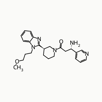 COCCCn1c([C@@H]2CCCN(C(=O)C[C@H](N)c3cccnc3)C2)nc2ccccc21